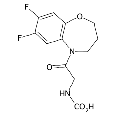 O=C(O)NCC(=O)N1CCCOc2cc(F)c(F)cc21